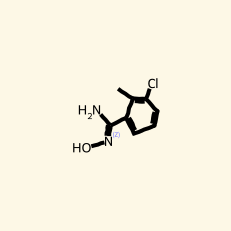 Cc1c(Cl)cccc1/C(N)=N/O